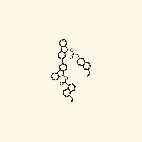 C=Cc1ccc2cc(CC(=O)OC3c4ccccc4-c4ccc(-c5ccc6c(c5)-c5ccccc5C6OC(=O)c5cccc6c(C=C)cccc56)cc43)ccc2c1